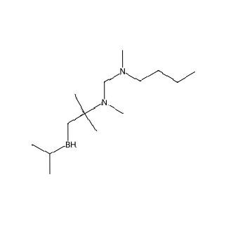 CCCCN(C)CN(C)C(C)(C)CBC(C)C